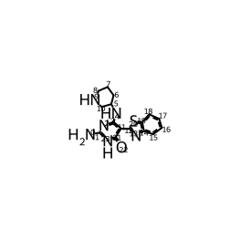 Nc1nc(NC2CCCNC2)c(-c2nc3ccccc3s2)c(=O)[nH]1